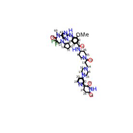 COc1cc(C(=O)NC2CCN(C(=O)CCN3CCN(c4ccnc(C5CCC(=O)NC5=O)c4)CC3)CC2)ccc1Nc1ncc2c(n1)N(C1CCCC1)CC(F)(F)C(=O)N2C